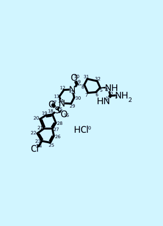 Cl.N=C(N)N[C@H]1CC[C@H](C(=O)N2CCN(S(=O)(=O)c3ccc4cc(Cl)ccc4c3)CC2)CC1